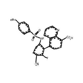 CC(C)(C)c1ccc(S(=O)(=O)Nc2ccc(C#N)c(F)c2-c2ccc(C(=O)O)c3ncccc23)cc1